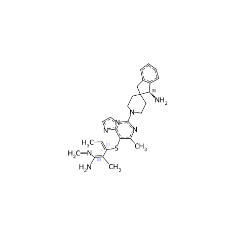 C=N/C(N)=C(C)\C(=C/C)Sc1c(C)nc(N2CCC3(CC2)Cc2ccccc2[C@H]3N)n2ccnc12